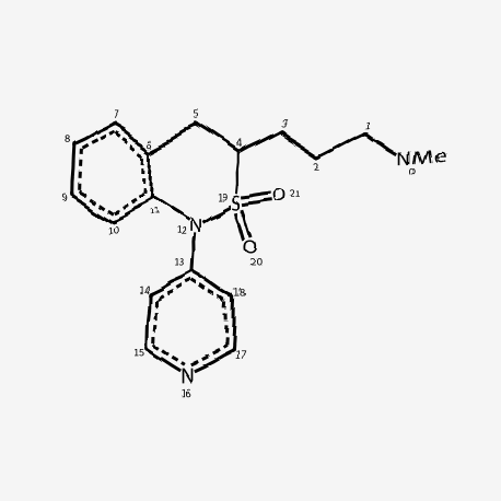 CNCCCC1Cc2ccccc2N(c2ccncc2)S1(=O)=O